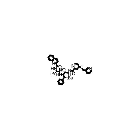 CC(C)[C@H](NC(=O)c1ccc2ccccc2n1)C(=O)NC(C(O)CNC(=O)C1CC(OCc2cccnc2)CCN1)C(c1ccccc1)C(C)(C)C